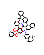 Cc1cc2c(cc1N1c3cc4c(cc3B3c5c1cc1ccccc1c5-c1ccc5c(c1N3c1ccccc1-c1ccccc1)C(C)(C)c1ccccc1-5)Oc1ccccc1O4)C(C)(C)CCC2(C)C